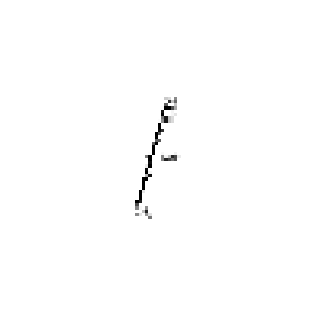 CCCCCCCCCCCCCCCCNCC(=O)O.[NaH]